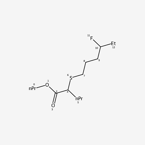 CCCOC(=O)C(CCC)SCCCC(F)CC